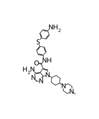 CN1CCN(C2CCC(n3cc(C(=O)Nc4ccc(Sc5ccc(N)cc5)cc4)c4c(N)ncnc43)CC2)CC1